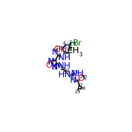 C\C=C(/C=C\C(F)=C\Br)N/C(=N\O)c1nonc1NCCN/C(N)=N/C(=O)C1CC1